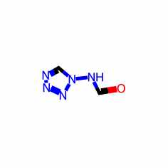 O=CNn1cnnn1